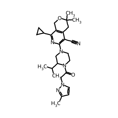 Cc1ccn(CC(=O)N2CCN(c3nc(C4CC4)c4c(c3C#N)CC(C)(C)OC4)CC2C(C)C)n1